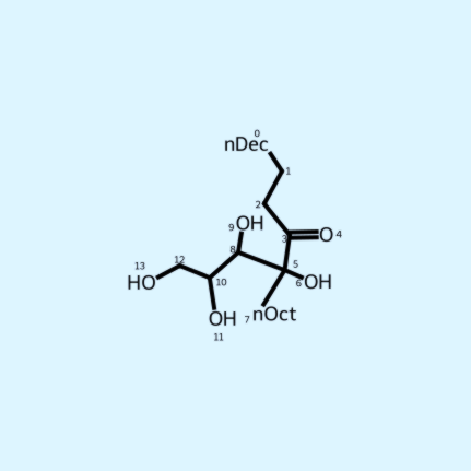 CCCCCCCCCCCCC(=O)C(O)(CCCCCCCC)C(O)C(O)CO